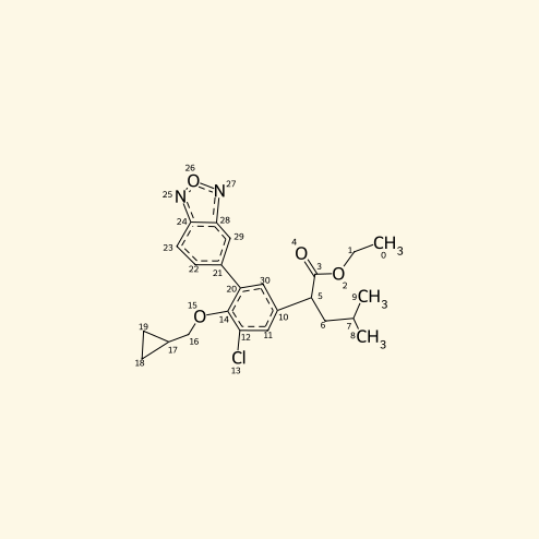 CCOC(=O)C(CC(C)C)c1cc(Cl)c(OCC2CC2)c(-c2ccc3nonc3c2)c1